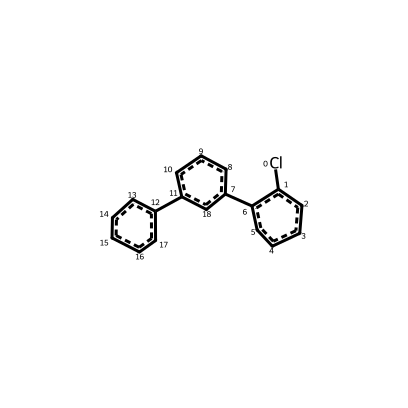 Clc1ccccc1-c1cccc(-c2ccccc2)c1